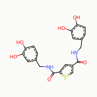 O=C(NCc1ccc(O)c(O)c1)c1csc(C(=O)NCc2ccc(O)c(O)c2)c1